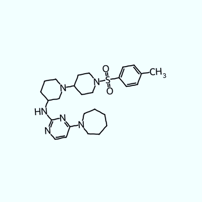 Cc1ccc(S(=O)(=O)N2CCC(N3CCCC(Nc4nccc(N5CCCCCC5)n4)C3)CC2)cc1